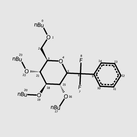 CCCCOC[C@H]1OC(C(F)(F)c2ccccc2)[C@H](OCCCC)[C@@H](OCCCC)[C@@H]1OCCCC